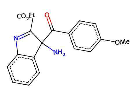 CCOC(=O)C1=Nc2ccccc2C1(N)C(=O)c1ccc(OC)cc1